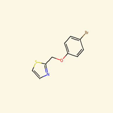 Brc1ccc(OCc2n[c]cs2)cc1